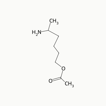 CC(=O)OCCCCC(C)N